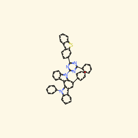 c1ccc(-c2nc(-c3ccc4c(c3)sc3ccccc34)nc(-n3c4ccccc4c4c3c(-c3ccccc3)cc3c5ccccc5n(-c5ccccc5)c34)n2)cc1